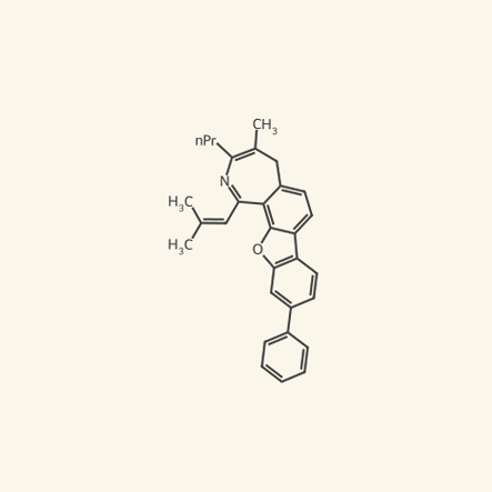 CCCC1=C(C)Cc2ccc3c(oc4cc(-c5ccccc5)ccc43)c2C(C=C(C)C)=N1